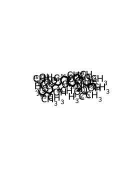 CC[C@@H](C(=O)[C@@H](C)[C@@H](O)[C@H](C)[C@@H]1O[C@@H]([C@@H](CC)C(=O)O)CC[C@@H]1C)[C@H]1O[C@]2(C=CC(NC(=O)OC(C)C)[C@]3(CC[C@@](C)([C@H]4CC[C@](O)(CC)[C@H](C)O4)O3)O2)[C@H](C)C[C@@H]1C